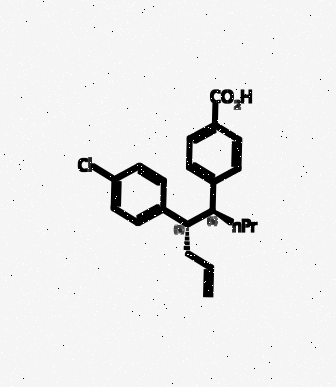 C=CC[C@H](c1ccc(Cl)cc1)[C@H](CCC)c1ccc(C(=O)O)cc1